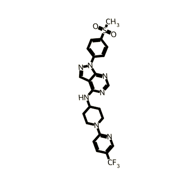 CS(=O)(=O)c1ccc(-n2ncc3c(NC4CCN(c5ccc(C(F)(F)F)cn5)CC4)ncnc32)cc1